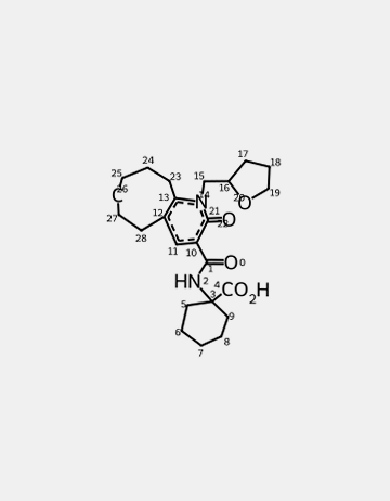 O=C(NC1(C(=O)O)CCCCC1)c1cc2c(n(CC3CCCO3)c1=O)CCCCCC2